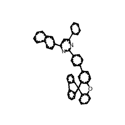 c1ccc(-c2cc(-c3ccc4ccccc4c3)nc(-c3ccc(-c4ccc5c(c4)C4(c6ccccc6O5)c5ccccc5-c5ccccc54)cc3)n2)cc1